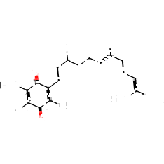 CC(C)=CCC/C(C)=C/CCC(C)CCC1=C(C)C(=O)C(C)=C(C)C1=O